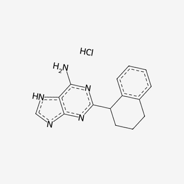 Cl.Nc1nc(C2CCCc3ccccc32)nc2nc[nH]c12